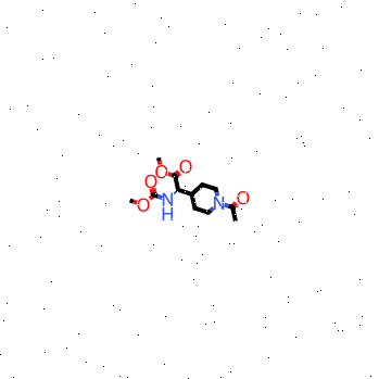 COC(=O)N[C@H](C(=O)OC)C1CCN(C(C)=O)CC1